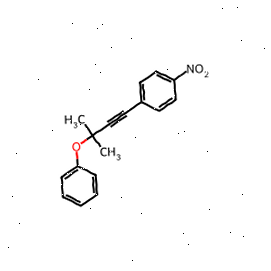 CC(C)(C#Cc1ccc([N+](=O)[O-])cc1)Oc1ccccc1